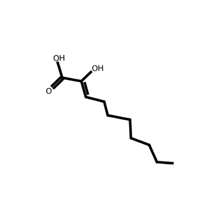 CCCCCCCC=C(O)C(=O)O